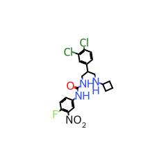 O=C(NCC(CNC1CCC1)c1ccc(Cl)c(Cl)c1)Nc1ccc(F)c([N+](=O)[O-])c1